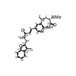 CN[C@H]1CN(C)c2cc(/C=C/C(=O)N(C)Cc3oc4ccccc4c3C)cnc2NC1=O